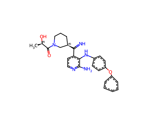 C[C@@H](O)C(=O)N1CCC[C@@H](C(=N)c2ccnc(N)c2Nc2ccc(Oc3ccccc3)cc2)C1